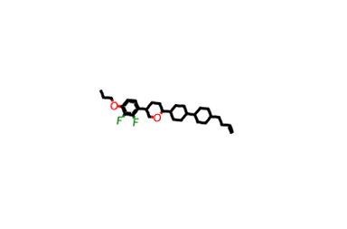 C=CCCC1CCC(C2CCC(C3CCC(c4ccc(OCCC)c(F)c4F)CO3)CC2)CC1